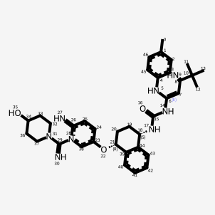 Cc1ccc(N/C(=C\C(=N)C(C)(C)C)NC(=O)N[C@H]2CC[C@@H](Oc3ccc(=N)n(C(=N)N4CCC(O)CC4)c3)c3ccccc32)cc1